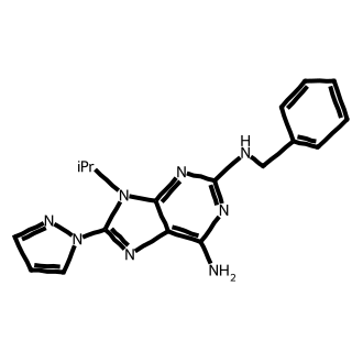 CC(C)n1c(-n2cccn2)nc2c(N)nc(NCc3ccccc3)nc21